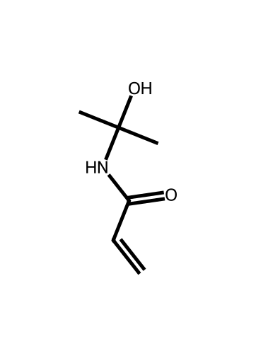 C=CC(=O)NC(C)(C)O